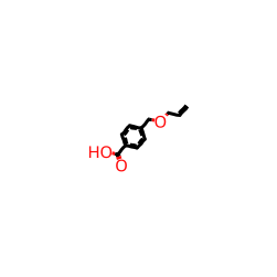 C=CCOCc1ccc(C(=O)O)cc1